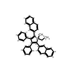 CC[Si]1(C)C(c2ccc3ccccc3c2)=C(c2ccccc2)C(c2ccccc2)=C1c1ccc2ccccc2c1